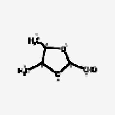 CC1OC(C=O)OC1C